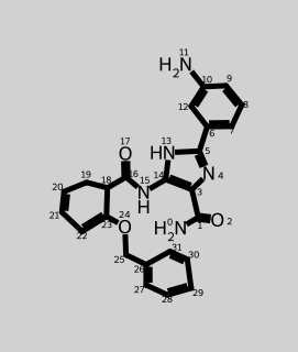 NC(=O)c1nc(-c2cccc(N)c2)[nH]c1NC(=O)C1CC=CC=C1OCc1ccccc1